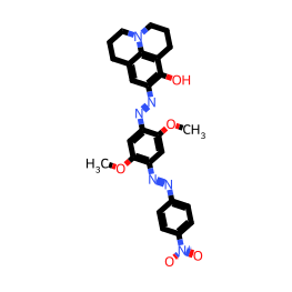 COc1cc(N=Nc2cc3c4c(c2O)CCCN4CCC3)c(OC)cc1N=Nc1ccc([N+](=O)[O-])cc1